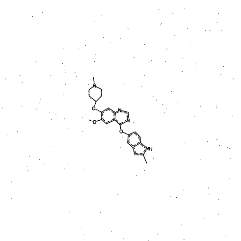 COc1cc2c(Oc3ccc4[nH]c(C)cc4c3)ncnc2cc1OC1CCN(C)CC1